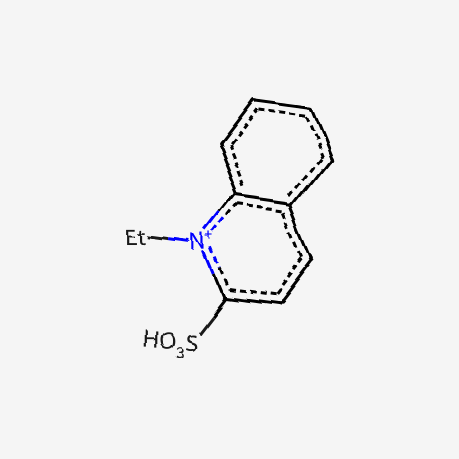 CC[n+]1c(S(=O)(=O)O)ccc2ccccc21